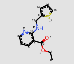 CCOC(=O)c1cccnc1NCc1cccs1